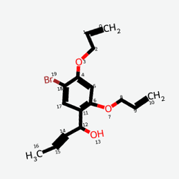 C=CCOc1cc(OCC=C)c(C(O)C#CC)cc1Br